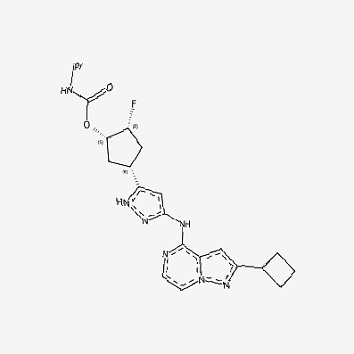 CC(C)NC(=O)O[C@H]1C[C@@H](c2cc(Nc3nccn4nc(C5CCC5)cc34)n[nH]2)C[C@H]1F